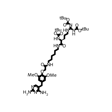 COc1cc(Cc2cnc(N)nc2N)cc(OC)c1OCC(=O)NCCCCCCNC(=O)[C@H](CCCN/C(=N\C(=O)OC(C)(C)C)NC(=O)OC(C)(C)C)NC(=O)OC(C)(C)C